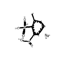 Cc1cccc([N+](=O)[O-])c1S(=O)(=O)[O-].[Na+]